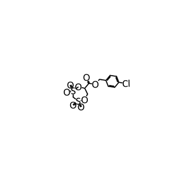 O=C(OCc1ccc(Cl)cc1)C1COS(=O)(=O)CS(=O)(=O)O1